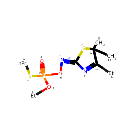 CCCSP(=O)(OCC)O/N=C1\N=C(CC)C(C)(C)S1